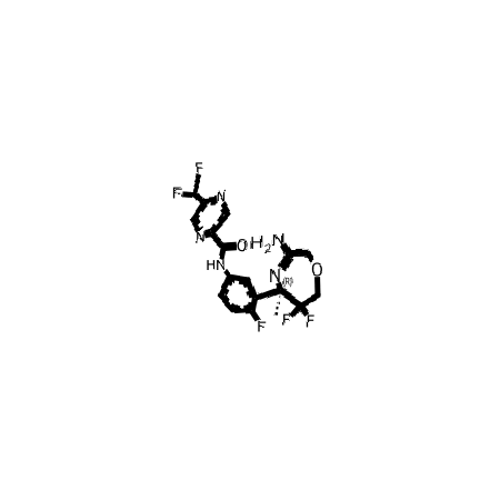 C[C@]1(c2cc(NC(=O)c3cnc(C(F)F)cn3)ccc2F)N=C(N)COCC1(F)F